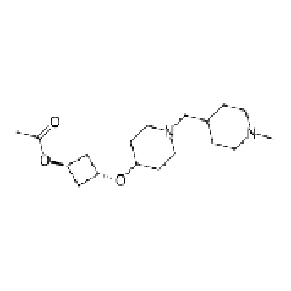 CC(=O)O[C@H]1C[C@H](OC2CCN(CC3CCN(C)CC3)CC2)C1